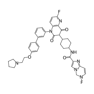 O=C(NC1CCC(C2C(=O)c3nc(F)ccc3N(c3cccc(-c4ccc(OCCN5CCCC5)cc4)c3)C2=O)CC1)C1=C[N+]2CN(F)C=CC2=N1